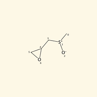 C[S+]([O-])CC1CO1